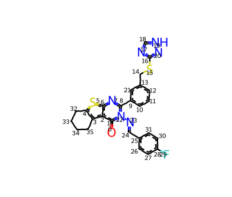 O=c1c2c3c(sc2nc(-c2cccc(CSc4nc[nH]n4)c2)n1N=Cc1ccc(F)cc1)CCCC3